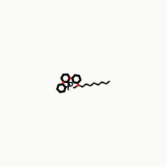 CCCCCCCCCCP(C)(c1ccccc1)(c1ccccc1)c1ccccc1